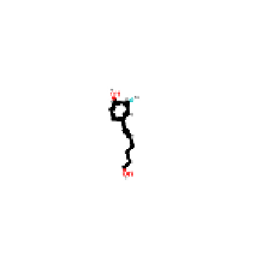 OCCCCC#Cc1ccc(O)c(F)c1